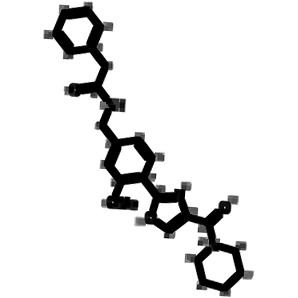 COc1cc(CNC(=O)Cc2ccccc2)ccc1-c1nc(C(=O)N2CCCCC2)co1